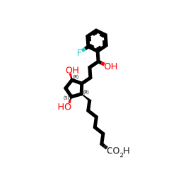 O=C(O)CCCCCC[C@@H]1C(CCC(O)c2ccccc2F)[C@H](O)C[C@@H]1O